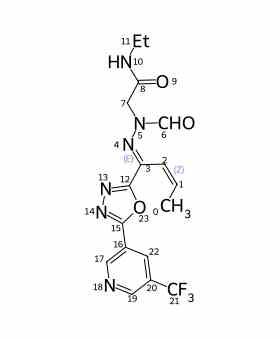 C/C=C\C(=N/N(C=O)CC(=O)NCC)c1nnc(-c2cncc(C(F)(F)F)c2)o1